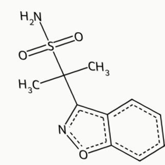 CC(C)(c1noc2ccccc12)S(N)(=O)=O